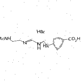 Br.CC(=O)NCCN=CNCNc1ccc(C(=O)O)cc1